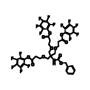 O=C(CCOCC(COCCC(=O)Oc1c(F)c(F)c(F)c(F)c1F)(COCCC(=O)Oc1c(F)c(F)c(F)c(F)c1F)NC(=O)OCc1ccccc1)Oc1c(F)c(F)c(F)c(F)c1F